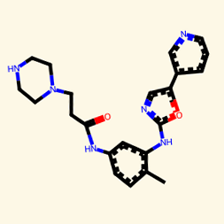 Cc1ccc(NC(=O)CCN2CCNCC2)cc1Nc1ncc(-c2cccnc2)o1